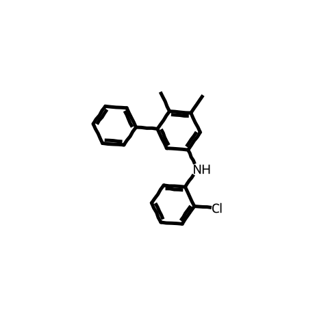 Cc1cc(Nc2ccccc2Cl)cc(-c2ccccc2)c1C